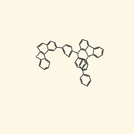 c1ccc(-c2ccc(N(c3ccc(-c4ccc5ccc6sc7ccccc7c6c5c4)cc3)c3cccc4c5ccccc5n(-c5ccccc5)c34)cc2)cc1